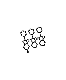 [Ir].c1ccc(-c2nc3ccccc3o2)cc1.c1ccc(-c2nc3ccccc3o2)cc1.c1ccc(-c2nc3ccccc3o2)cc1